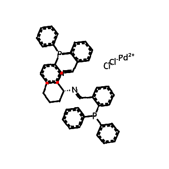 C(=N[C@@H]1CCCC[C@H]1N=Cc1ccccc1P(c1ccccc1)c1ccccc1)c1ccccc1P(c1ccccc1)c1ccccc1.[Cl-].[Cl-].[Pd+2]